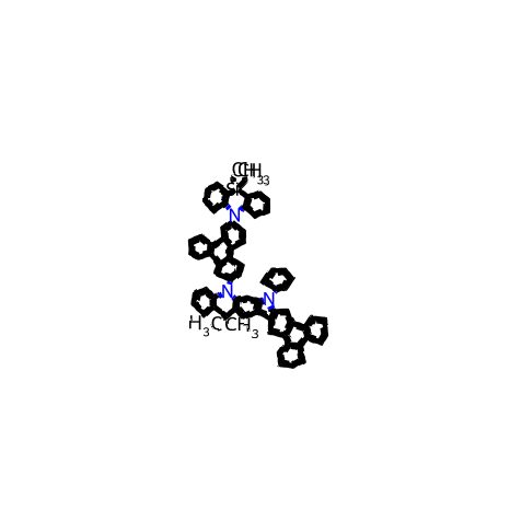 CC[Si]1(CC)c2ccccc2N(c2ccc3c4ccc(N5c6ccccc6C(C)(C)c6cc7c8cc9c%10ccccc%10c%10ccccc%10c9cc8n(-c8ccccc8)c7cc65)cc4c4ccccc4c3c2)c2ccccc21